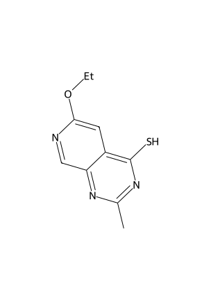 CCOc1cc2c(S)nc(C)nc2cn1